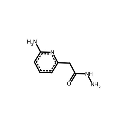 NNC(=O)Cc1cccc(N)n1